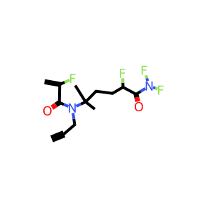 C#CCN(C(=O)C(=C)F)C(C)(C)CCC(F)C(=O)N(F)F